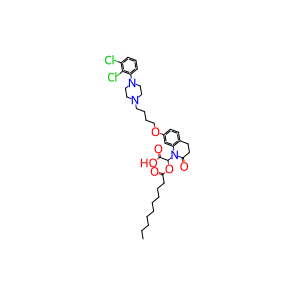 CCCCCCCCCC(=O)OC(C(=O)O)N1C(=O)CCc2ccc(OCCCCN3CCN(c4cccc(Cl)c4Cl)CC3)cc21